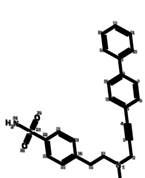 CN(CC#Cc1ccc(-c2ccccc2)cc1)CCc1ccc(S(N)(=O)=O)cc1